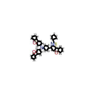 c1ccc(-c2nc3c(-c4ccc(N(c5ccc6c(c5)oc5ccccc56)c5ccc6c(c5)oc5ccccc56)cc4)cc4oc5ccccc5c4c3s2)cc1